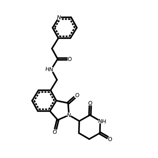 O=C(Cc1cccnc1)NCc1cccc2c1C(=O)N(C1CCC(=O)NC1=O)C2=O